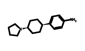 Nc1ccc([C@H]2CC[C@@H](N3CCCC3)CC2)cc1